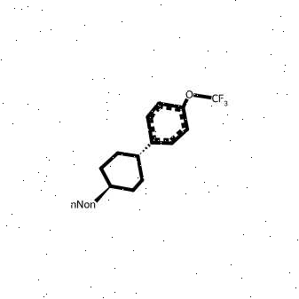 CCCCCCCCC[C@H]1CC[C@H](c2ccc(OC(F)(F)F)cc2)CC1